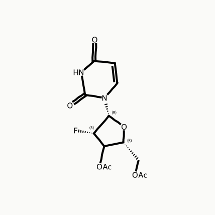 CC(=O)OC[C@H]1O[C@@H](n2ccc(=O)[nH]c2=O)[C@@H](F)C1OC(C)=O